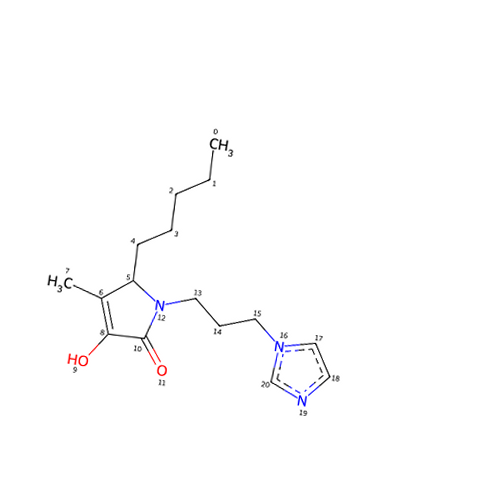 CCCCCC1C(C)=C(O)C(=O)N1CCCn1ccnc1